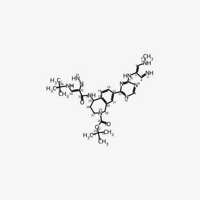 CN/C=C(\C=N)Nc1ncnc(-c2ccc3c(c2)CN(C(=O)OC(C)(C)C)CCC3NC(=O)/C(=C/NC(C)(C)C)N=N)n1